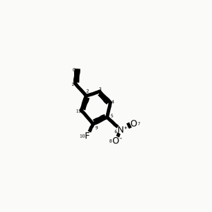 C=[C]c1ccc([N+](=O)[O-])c(F)c1